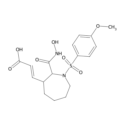 COc1ccc(S(=O)(=O)N2CCCCC(/C=C/C(=O)O)C2C(=O)NO)cc1